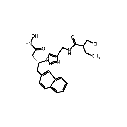 CCC(CC)C(=O)NCc1cn([C@@H](CC(=O)NO)Cc2ccc3ccccc3c2)nn1